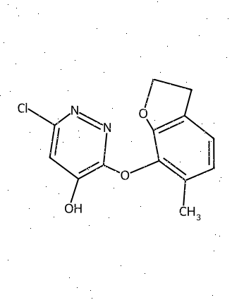 Cc1ccc2c(c1Oc1nnc(Cl)cc1O)OCC2